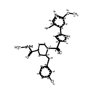 CNC(=O)C1CCN(C(=O)c2cc(-c3cc(OC)ncc3F)[nH]n2)C(Cc2cccc(Cl)c2)C1